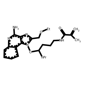 C=C(C)C(=O)NCCCC(CCC)On1c(COCC)nc2c(N)nc3ccccc3c21